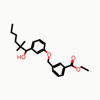 CCCCC(C)(C)C(O)c1cccc(OCc2cccc(C(=O)OCC)c2)c1